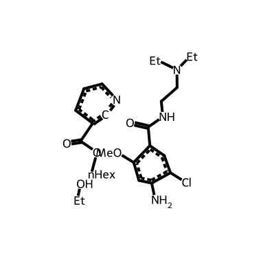 CCCCCCOC(=O)c1cccnc1.CCN(CC)CCNC(=O)c1cc(Cl)c(N)cc1OC.CCO